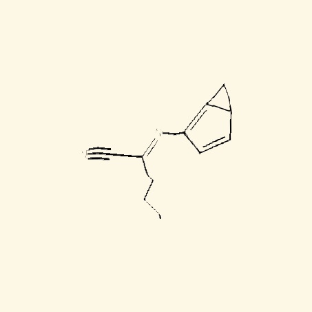 CCC/C(C#N)=N\C1=C2CC2C=C1